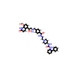 O=C(Nc1ccccc1-c1ccccc1)NC1CCN(CCNC(=O)c2ccc(CNCC(O)c3ccc(O)c4[nH]c(=O)ccc34)cc2)CC1